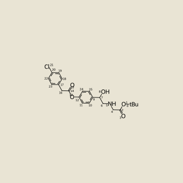 CC(C)(C)OC(=O)CNCC(O)c1ccc(OC(=O)Cc2ccc(Cl)cc2)cc1